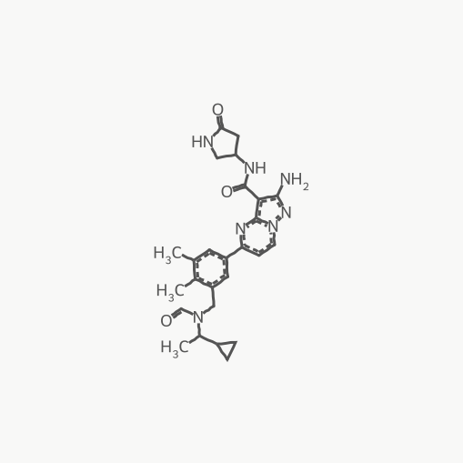 Cc1cc(-c2ccn3nc(N)c(C(=O)NC4CNC(=O)C4)c3n2)cc(CN(C=O)C(C)C2CC2)c1C